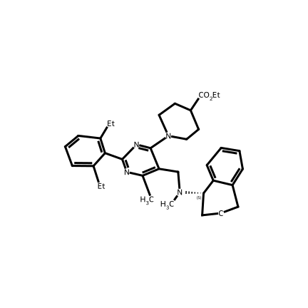 CCOC(=O)C1CCN(c2nc(-c3c(CC)cccc3CC)nc(C)c2CN(C)[C@H]2CCCc3ccccc32)CC1